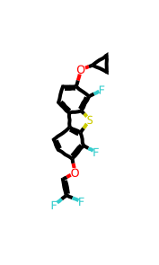 FC(F)=COc1ccc2c(sc3c(F)c(OC4CC4)ccc32)c1F